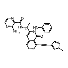 C[C@H](NC(=O)c1nccnc1N)c1nc2cccc(C#Cc3cnn(C)c3)c2c(=O)n1Nc1ccccc1